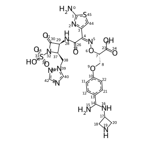 Nc1nc(/C(=N/O[C@@H](COc2ccc(C(N)NC3CNC3)cc2)C(=O)O)C(=O)N[C@@H]2C(=O)N(S(=O)(=O)O)[C@@H]2Cn2cncn2)cs1